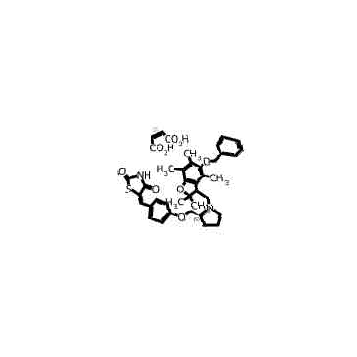 Cc1c(C)c2c(c(C)c1OCc1ccccc1)C(CN1CCC[C@H]1COc1ccc(C=C3SC(=O)NC3=O)cc1)C(C)(C)O2.O=C(O)/C=C\C(=O)O